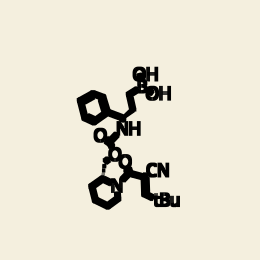 CC(C)(C)C=C(C#N)C(=O)N1CCCC[C@@H]1COC(=O)N[C@H](CCB(O)O)c1ccccc1